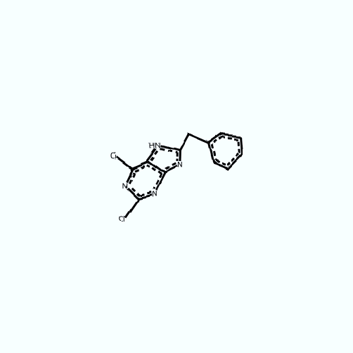 Clc1nc(Cl)c2[nH]c(Cc3ccccc3)nc2n1